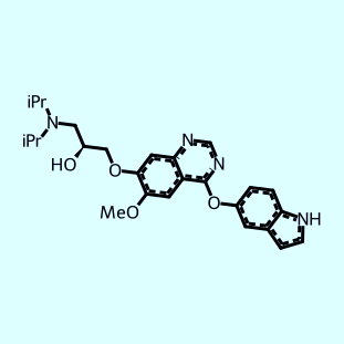 COc1cc2c(Oc3ccc4[nH]ccc4c3)ncnc2cc1OC[C@@H](O)CN(C(C)C)C(C)C